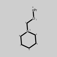 CCCO[CH]N1CCCCC1